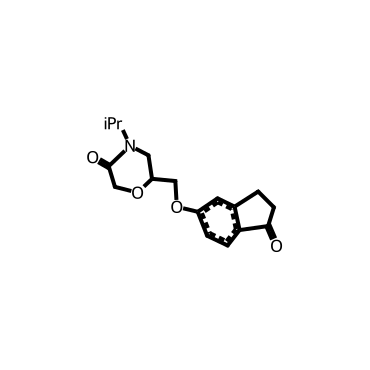 CC(C)N1CC(COc2ccc3c(c2)CCC3=O)OCC1=O